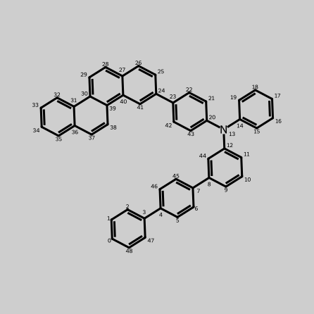 c1ccc(-c2ccc(-c3cccc(N(c4ccccc4)c4ccc(-c5ccc6ccc7c8ccccc8ccc7c6c5)cc4)c3)cc2)cc1